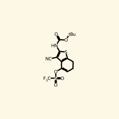 CC(C)(C)OC(=O)Nc1sc2c(c1C#N)C(OS(=O)(=O)C(F)(F)F)=CCC2